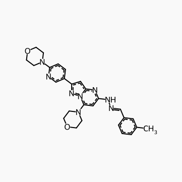 Cc1cccc(C=NNc2cc(N3CCOCC3)n3nc(-c4ccc(N5CCOCC5)nc4)cc3n2)c1